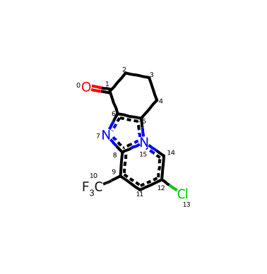 O=C1CCCc2c1nc1c(C(F)(F)F)cc(Cl)cn21